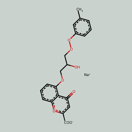 Cc1cccc(OOCC(O)COc2cccc3oc(C(=O)[O-])cc(=O)c23)c1.[Na+]